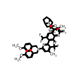 COc1ccc(CN(Cc2ccc(OC)cc2)c2cc(C)c(C(F)(F)F)c(-c3c(C(F)F)cc4c(N5CC6CCC(C5)N6C(=O)OC(C)(C)C)nc(F)nc4c3F)n2)cc1